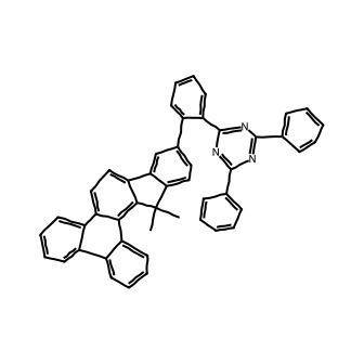 CC1(C)c2ccc(-c3ccccc3-c3nc(-c4ccccc4)nc(-c4ccccc4)n3)cc2-c2ccc3c4ccccc4c4ccccc4c3c21